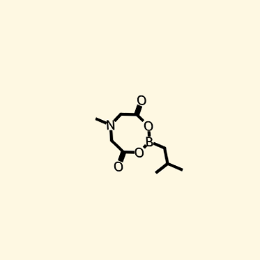 CC(C)CB1OC(=O)CN(C)CC(=O)O1